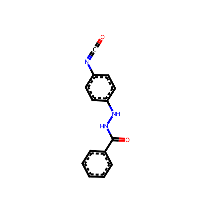 O=C=Nc1ccc(NNC(=O)c2ccccc2)cc1